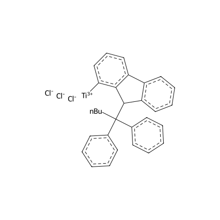 CCCCC(c1ccccc1)(c1ccccc1)C1c2ccccc2-c2ccc[c]([Ti+3])c21.[Cl-].[Cl-].[Cl-]